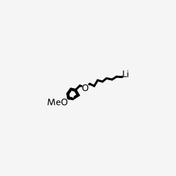 [Li][CH2]CCCCCCCOCc1ccc(OC)cc1